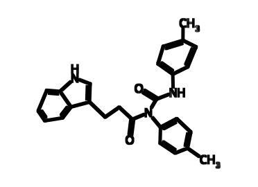 Cc1ccc(NC(=O)N(C(=O)CCc2c[nH]c3ccccc23)c2ccc(C)cc2)cc1